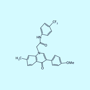 COc1ccc(-c2cn(CC(=O)Nc3ccc(C(F)(F)F)cc3)c3cc(C)ccc3c2=O)cc1